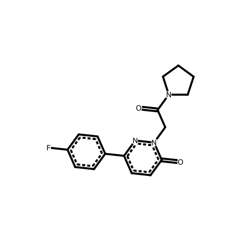 O=C(Cn1nc(-c2ccc(F)cc2)ccc1=O)N1CCCC1